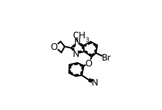 Cn1c(C2COC2)nc2c(Oc3ccccc3C#N)c(Br)ccc21